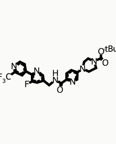 CC(C)(C)OC(=O)N1CCN(c2ccc(C(=O)NCc3cnc(-c4ccnc(C(F)(F)F)c4)c(F)c3)nc2)CC1